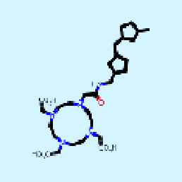 CC1CCC(CC2CCC(CNC(=O)CN3CCN(CC(=O)O)CCN(CC(=O)O)CCN(CC(=O)O)CC3)C2)C1